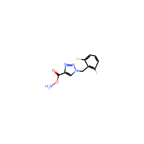 NOC(=O)c1cn(Cc2c(F)cccc2F)nn1